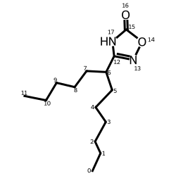 CCCCCCC(CCCCC)c1noc(=O)[nH]1